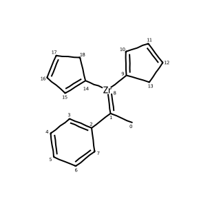 C[C](c1ccccc1)=[Zr]([C]1=CC=CC1)[C]1=CC=CC1